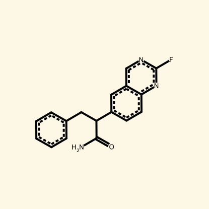 NC(=O)C(Cc1ccccc1)c1ccc2nc(F)ncc2c1